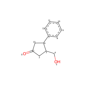 O=C1CC(CO)C(c2ccccc2)C1